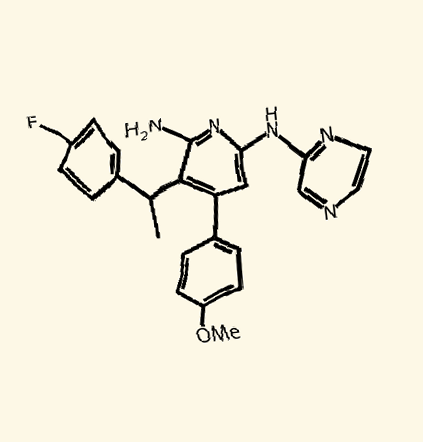 COc1ccc(-c2cc(Nc3cnccn3)nc(N)c2C(C)c2ccc(F)cc2)cc1